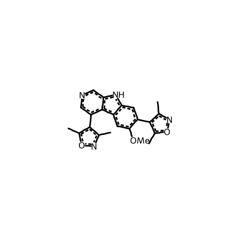 COc1cc2c(cc1-c1c(C)noc1C)[nH]c1cncc(-c3c(C)noc3C)c12